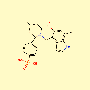 COc1cc(C)c2[nH]ccc2c1CN1CCC(C)CC1c1ccc(P(=O)(O)O)cc1